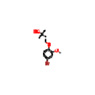 COc1cc(Br)ccc1OCCC(C)(C)O